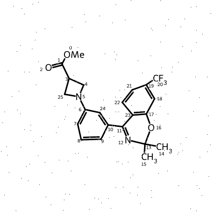 COC(=O)C1CN(c2cccc(C3=NC(C)(C)Oc4cc(C(F)(F)F)ccc43)c2)C1